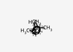 C[C]12[CH]3[CH]4[CH]5[CH]1[Fe]45321678[CH]2[CH]1[C]6(C)[C]7(C)[C]28C